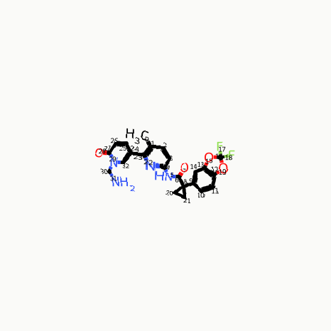 Cc1ccc(NC(=O)C2(c3ccc4c(c3)OC(F)(F)O4)CC2)nc1-c1ccc(=O)n(CN)c1